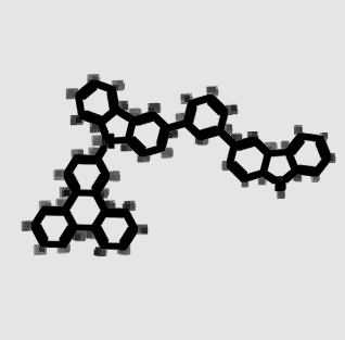 C1=CC2Sc3ccccc3C2C=C1c1cccc(-c2ccc3c(c2)c2ccccc2n3-c2ccc3c4ccccc4c4ccccc4c3c2)c1